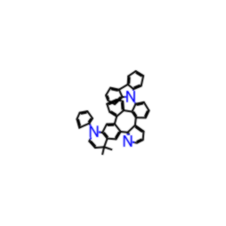 CC1(C)C=CN(c2ccccc2)c2cc3c(cc21)-c1ncccc1-c1cccc(-n2c4ccccc4c4ccccc42)c1-c1ccccc1-3